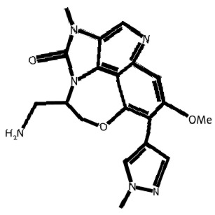 COc1cc2ncc3c4c2c(c1-c1cnn(C)c1)OCC(CN)n4c(=O)n3C